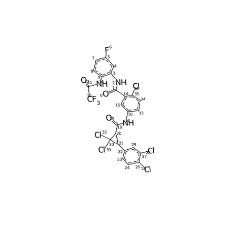 O=C(Nc1cc(F)ccc1NC(=O)C(F)(F)F)c1cc(NC(=O)C2C(c3ccc(Cl)c(Cl)c3)C2(Cl)Cl)ccc1Cl